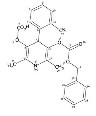 CC1=C(OC(=O)O)C(c2ccccc2C#N)C(OC(=O)OCc2ccccc2)=C(C)N1